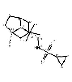 CC(C)(C)N1C2CC[C@@H]1C[C@@H](CNS(=O)(=O)C1CC1)C2